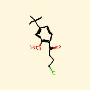 CC(C)(C)c1ccc(C(=O)CCCCl)c(O)c1